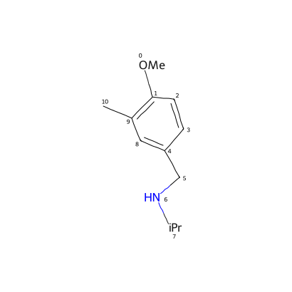 COc1ccc(CNC(C)C)cc1C